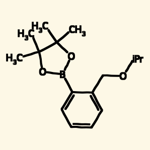 CC(C)OCc1ccccc1B1OC(C)(C)C(C)(C)O1